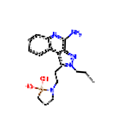 CCCn1nc2c(N)nc3ccccc3c2c1CCN1CCCS1(O)O